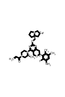 C=CC(=O)N1CCN(c2nc(OC[C@@]34CCCN3C[C@H](F)C4)nc3c2CO[C@H](c2c(F)c(N)cc(C)c2C(F)(F)F)C3)[C@@H](C)C1